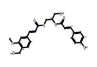 COc1cc(/C=C/C(=O)OCC(CO)OC(=O)/C=C/c2ccc(O)cc2)ccc1CO